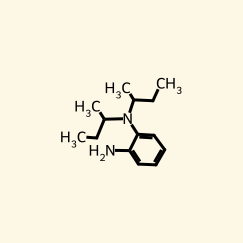 CCC(C)N(c1ccccc1N)C(C)CC